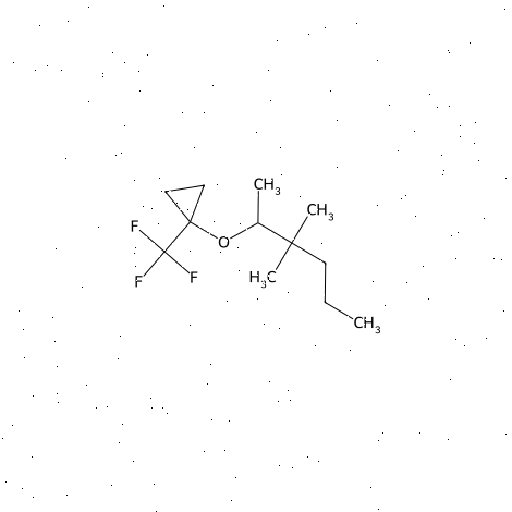 CCCC(C)(C)C(C)OC1(C(F)(F)F)CC1